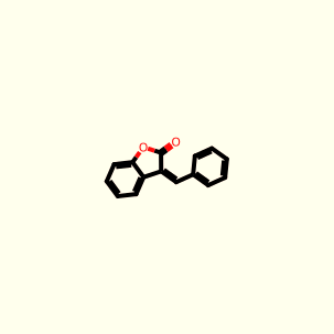 O=C1Oc2ccccc2C1=Cc1ccccc1